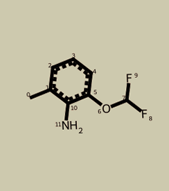 Cc1cccc(OC(F)F)c1N